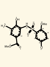 COC(=O)c1cc(C)c(O)c(NS(=O)(=O)c2cc(Cl)ccc2OC)c1